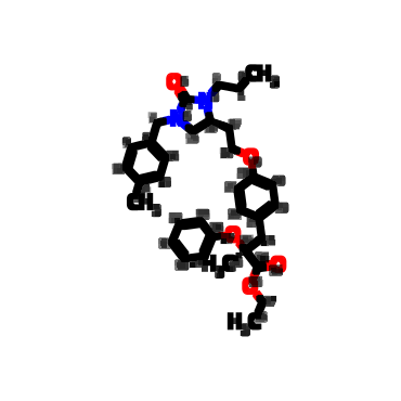 CCCN1C(=O)N(Cc2ccc(C)cc2)C[C@@H]1CCOc1ccc(C[C@](C)(Oc2ccccc2)C(=O)OCC)cc1